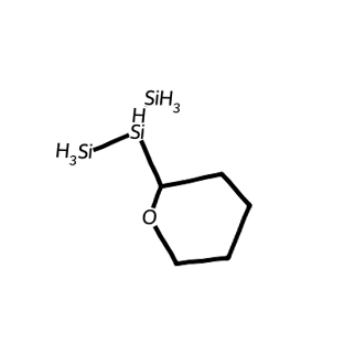 [SiH3][SiH]([SiH3])C1CCCCO1